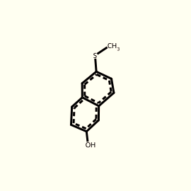 CSc1ccc2cc(O)ccc2c1